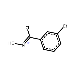 CCc1cccc(/C(Cl)=N/O)c1